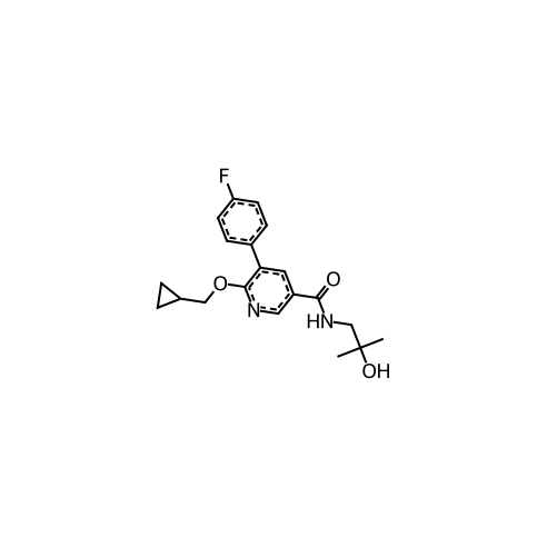 CC(C)(O)CNC(=O)c1cnc(OCC2CC2)c(-c2ccc(F)cc2)c1